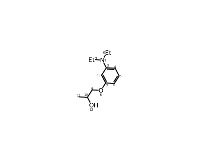 CCN(CC)c1cccc(OCC(C)O)c1